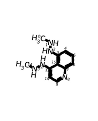 CNNc1cccc2nccc(NNC)c12